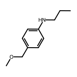 CCCNc1ccc(COC)cc1